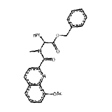 CCC[C@@H](C(=O)OCc1ccccc1)N(C)C(=O)c1ccc2cccc(OC(C)=O)c2n1